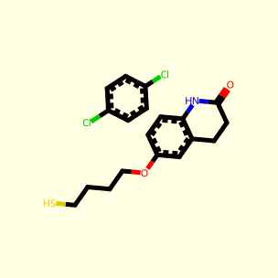 Clc1ccc(Cl)cc1.O=C1CCc2cc(OCCCCS)ccc2N1